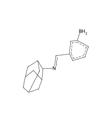 Bc1cccc(/C=N/C2C3CC4CC(C3)CC2C4)c1